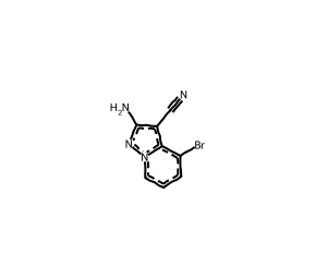 N#Cc1c(N)nn2cccc(Br)c12